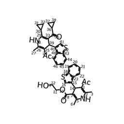 CC(=O)C1=C(C)NC(C)=C(C(=O)OCCO)C1c1csc2ccccc12.CC(=O)C1=C(C)NC(C2CC2)=C(C(=O)C2CC2)C1c1csc2ccccc12